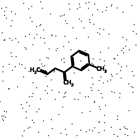 C=CCC(=C)c1cccc(C)c1